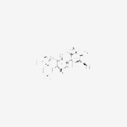 CC(=O)N[C@]12CCC(C)(C)CC1C1C(=O)C[C@@H]3[C@@]4(C)C=C(C#N)C(=O)C(C)(C)[C@@H]4CC[C@@]3(C)[C@]1(C)CC2